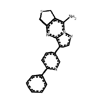 Nc1c2c(nc3c(-c4ccc(-c5ccccc5)nc4)cnn13)CSC2